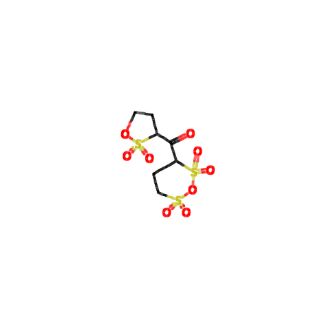 O=C(C1CCOS1(=O)=O)C1CCS(=O)(=O)OS1(=O)=O